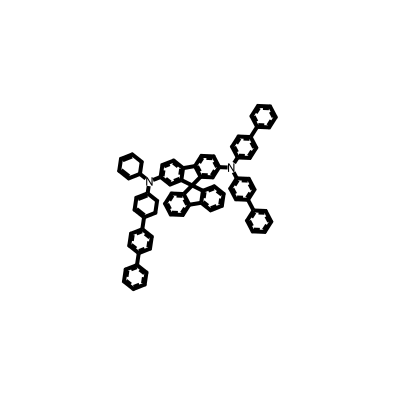 C1=CCC(N(C2=CC=C(c3ccc(-c4ccccc4)cc3)CC2)c2ccc3c(c2)C2(c4ccccc4-c4ccccc42)c2cc(N(c4ccc(-c5ccccc5)cc4)c4ccc(-c5ccccc5)cc4)ccc2-3)C=C1